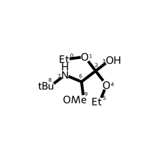 CCOC(O)(OCC)C(NC(C)(C)C)OC